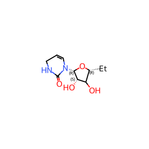 CC[C@H]1O[C@@H](N2C=CCNC2=O)[C@@H](O)C1O